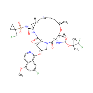 COc1cc(F)cc2c(O[C@@H]3C[C@H]4C(=O)N[C@]5(C(=O)NS(=O)(=O)C6(CF)CC6)C[C@H]5/C=C\CC[C@@H](C)O[C@@H](C)[C@H](NC(=O)OC(C)(C)C(F)F)C(=O)N4C3)nccc12